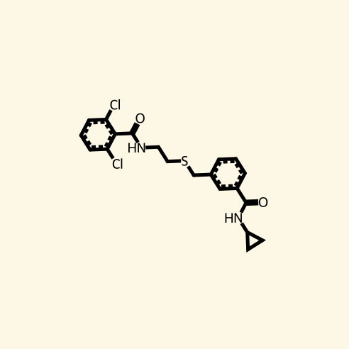 O=C(NC1CC1)c1cccc(CSCCNC(=O)c2c(Cl)cccc2Cl)c1